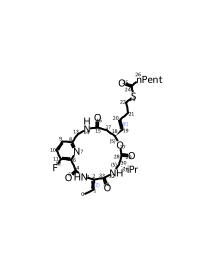 C/C=C1\NC(=O)c2nc(ccc2F)CNC(=O)C[C@@H](/C=C/CCSC(=O)CCCCC)OC(=O)[C@H](C(C)C)NC1=O